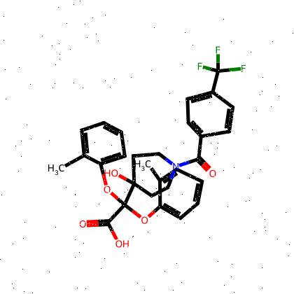 Cc1ccccc1OC(Oc1ccccc1C)(C(=O)O)C1(O)CCN(C(=O)c2ccc(C(F)(F)F)cc2)CC1